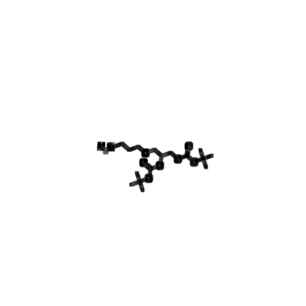 CC(C)(C)OC(=O)OCC(COCCC[SiH3])OC(=O)OC(C)(C)C